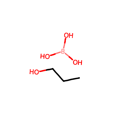 CCCO.OB(O)O